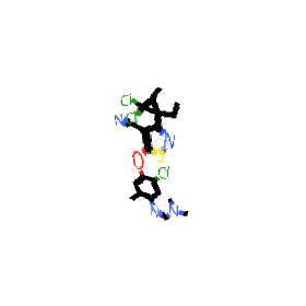 CCC1(c2nsc(Oc3cc(C)c(/N=C\N(C)C)cc3Cl)c2C#N)C(C)C1(Cl)Cl